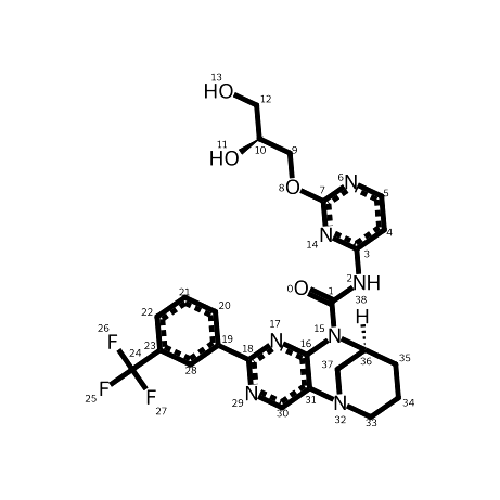 O=C(Nc1ccnc(OC[C@@H](O)CO)n1)N1c2nc(-c3cccc(C(F)(F)F)c3)ncc2N2CCC[C@H]1C2